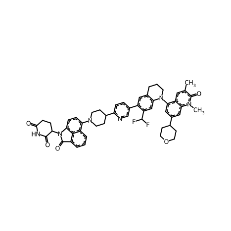 Cc1cc2c(N3CCCc4cc(-c5ccc(C6CCN(c7ccc8c9c(cccc79)C(=O)N8C7CCC(=O)NC7=O)CC6)nc5)c(C(F)F)cc43)cc(C3CCOCC3)cc2n(C)c1=O